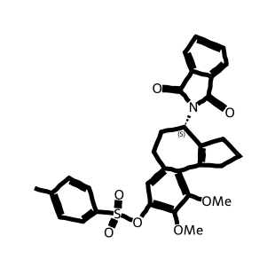 COc1c(OS(=O)(=O)c2ccc(C)cc2)cc2c(c1OC)C1=C(CCC1)[C@@H](N1C(=O)c3ccccc3C1=O)CC2